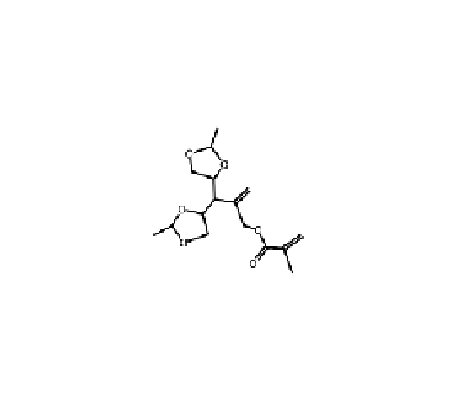 C=C(C)C(=O)OCC(=C)C(C1COC(C)O1)C1COC(C)O1